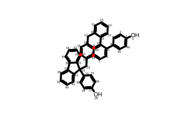 Oc1ccc(-c2ccccc2-c2ccccc2Cc2ccc(CC3(c4ccc(O)cc4)c4ccccc4-c4ccccc43)cc2)cc1